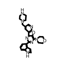 c1cc(-c2nc(N3CCOCC3)c3oc4ncc(CN5CCNCC5)cc4c3n2)c2cc[nH]c2c1